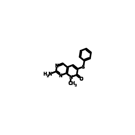 Cn1c(=O)c(Sc2ccccc2)cc2cnc(N)nc21